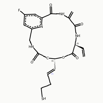 C=C[C@@H]1NC(=O)C(=C)NC(=O)c2cc(F)cc(n2)CNC(=O)C[C@@H](/C=C/CCS)OC1=O